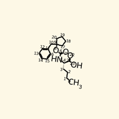 CCCC[C@H](NC(=O)OC1(Cc2ccccc2)CCCC1)C(=O)O